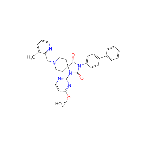 Cc1cccnc1CN1CCC2(CC1)C(=O)N(c1ccc(-c3ccccc3)cc1)C(=O)N2c1nccc(OC(=O)O)n1